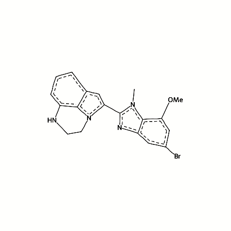 COc1cc(Br)cc2nc(-c3cc4cccc5c4n3CCN5)n(C)c12